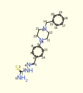 NC(=S)NN=Cc1ccc(N2CCN(Cc3ccccc3)CC2)cc1